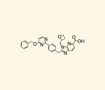 O=C(O)c1ccc2nc(Cc3ccc(-c4nccc(OCc5ccccc5)n4)cc3)n(C[C@@H]3CCO3)c2n1